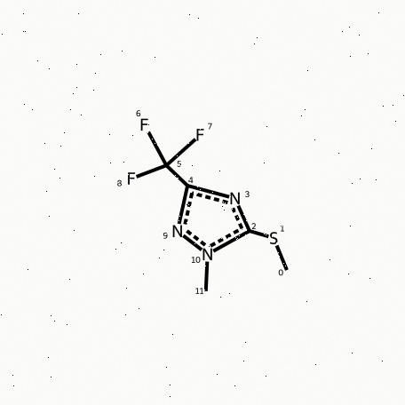 CSc1nc(C(F)(F)F)nn1C